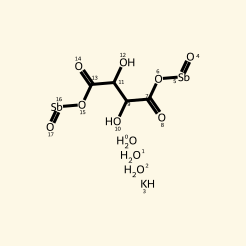 O.O.O.[KH].[O]=[Sb][O]C(=O)C(O)C(O)C(=O)[O][Sb]=[O]